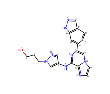 OCCCn1cc(Nc2nc(-c3ccc4cn[nH]c4c3)cn3ccnc23)cn1